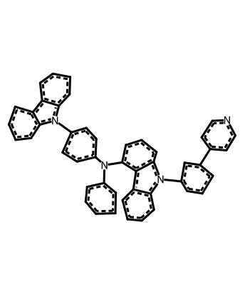 c1ccc(N(c2ccc(-n3c4ccccc4c4ccccc43)cc2)c2cccc3c2c2ccccc2n3-c2cccc(-c3ccncc3)c2)cc1